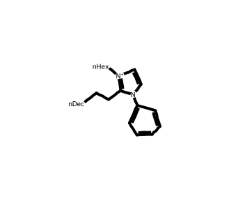 CCCCCCCCCCCCc1n(-c2ccccc2)cc[n+]1CCCCCC